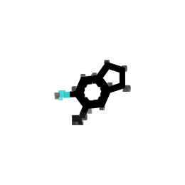 CCc1cc2c(cc1F)CCC2